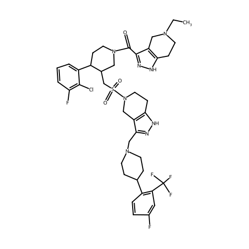 CCN1CCc2[nH]nc(C(=O)N3CCC(c4cccc(F)c4Cl)C(CS(=O)(=O)N4CCc5[nH]nc(CN6CCC(c7ccc(F)cc7C(F)(F)F)CC6)c5C4)C3)c2C1